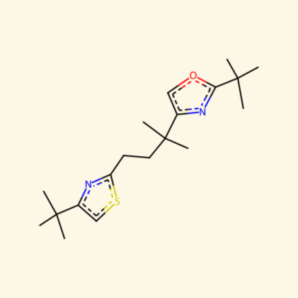 CC(C)(C)c1csc(CCC(C)(C)c2coc(C(C)(C)C)n2)n1